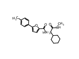 CNC(=O)[C@@H](NC(=O)c1ccc(-c2ccc(C)cc2)o1)C1CCCCC1